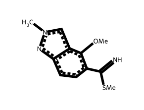 COc1c(C(=N)SC)ccc2nn(C)cc12